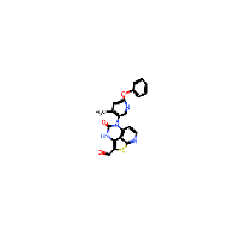 Cc1cc(Oc2ccccc2)ncc1N1C(=O)Nc2c(C=O)sc3nccc1c23